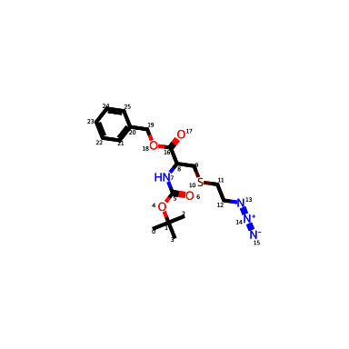 CC(C)(C)OC(=O)NC(CSCCN=[N+]=[N-])C(=O)OCc1ccccc1